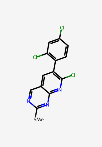 CSc1ncc2cc(-c3ccc(Cl)cc3Cl)c(Cl)nc2n1